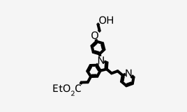 CCOC(=O)CCc1ccc2c(c1)c(CCc1ccccn1)cn2-c1ccc(OCCO)cc1